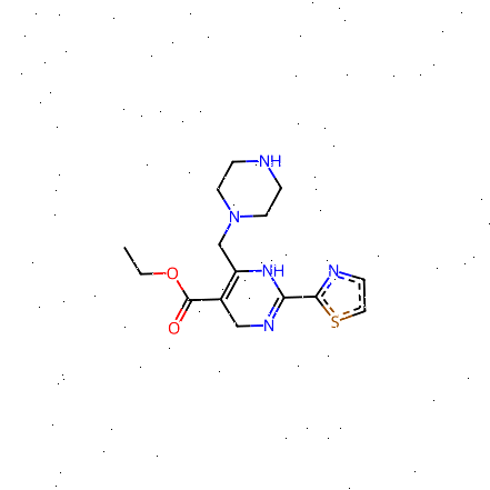 CCOC(=O)C1=C(CN2CCNCC2)NC(c2nccs2)=NC1